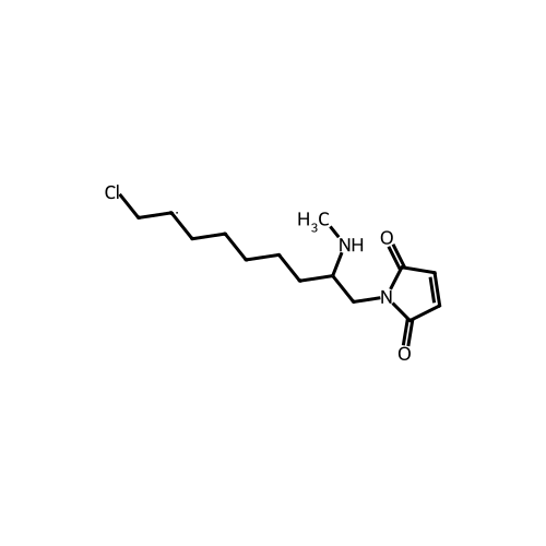 CNC(CCCCC[CH]CCl)CN1C(=O)C=CC1=O